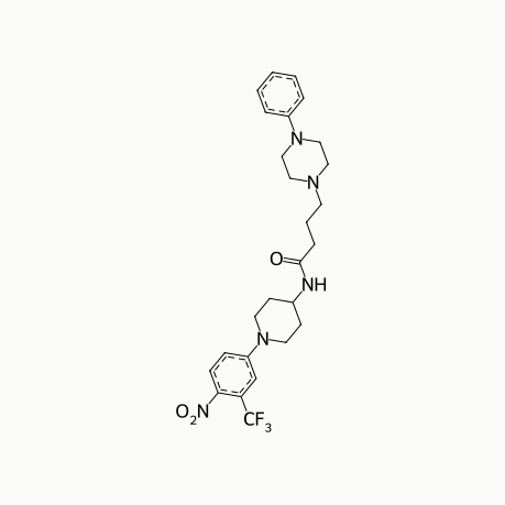 O=C(CCCN1CCN(c2ccccc2)CC1)NC1CCN(c2ccc([N+](=O)[O-])c(C(F)(F)F)c2)CC1